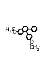 [CH2]COc1ccc(C2=C(c3ccccc3)CCc3cc(OC)ccc32)cc1